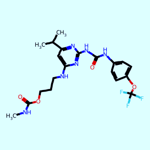 CNC(=O)OCCCNc1cc(C(C)C)nc(NC(=O)Nc2ccc(OC(F)(F)F)cc2)n1